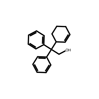 OCC(c1ccccc1)(c1ccccc1)C1C=CCCC1